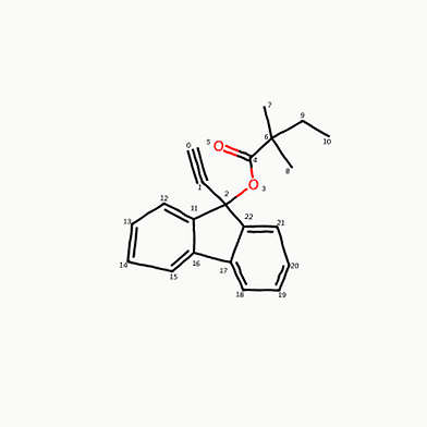 C#CC1(OC(=O)C(C)(C)CC)c2ccccc2-c2ccccc21